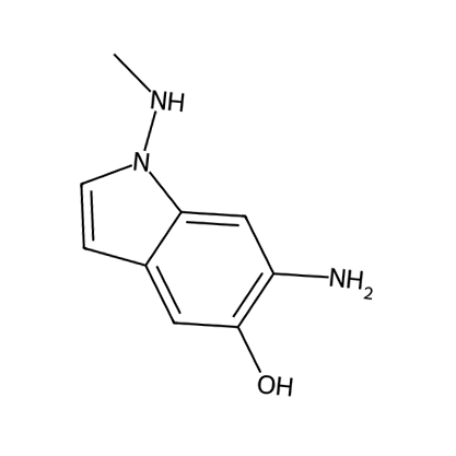 CNn1ccc2cc(O)c(N)cc21